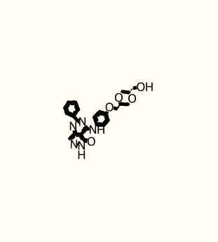 O=c1[nH]ncc2nc(-c3ccccc3)nc(Nc3ccc(OC[C@@H]4CO[C@@H](CO)CO4)cc3)c12